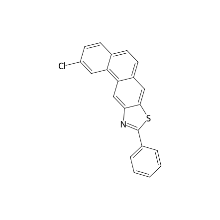 Clc1ccc2ccc3cc4sc(-c5ccccc5)nc4cc3c2c1